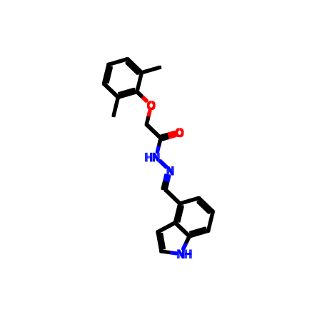 Cc1cccc(C)c1OCC(=O)N/N=C/c1cccc2[nH]ccc12